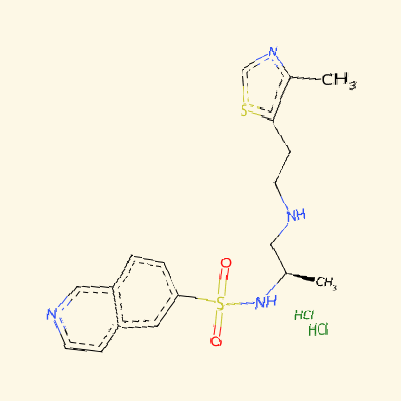 Cc1ncsc1CCNC[C@@H](C)NS(=O)(=O)c1ccc2cnccc2c1.Cl.Cl